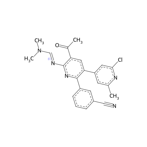 CC(=O)c1cc(-c2cc(C)nc(Cl)c2)c(-c2cccc(C#N)c2)nc1/N=C/N(C)C